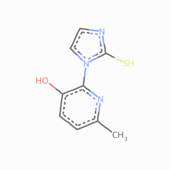 Cc1ccc(O)c(-n2ccnc2S)n1